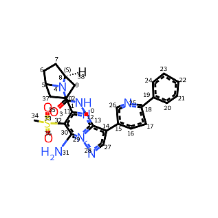 CNC(=O)N1C2CC[C@H]1CC(c1nc3c(-c4ccc(-c5ccccc5)nc4)cnn3c(N)c1S(C)(=O)=O)C2